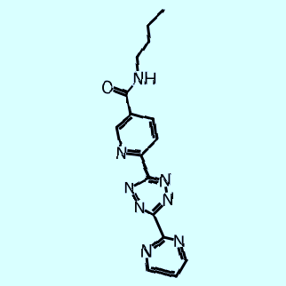 CCCCNC(=O)c1ccc(-c2nnc(-c3ncccn3)nn2)nc1